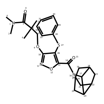 CN(C)C(=O)C(C)(C)COc1noc(C(=O)NC2C3CC4CC(C3)C2C4)c1Sc1ccccc1